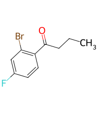 CCCC(=O)c1ccc(F)cc1Br